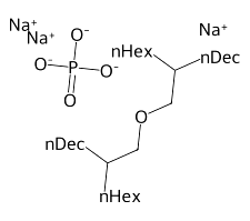 CCCCCCCCCCC(CCCCCC)COCC(CCCCCC)CCCCCCCCCC.O=P([O-])([O-])[O-].[Na+].[Na+].[Na+]